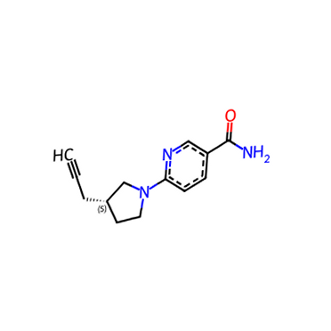 C#CC[C@H]1CCN(c2ccc(C(N)=O)cn2)C1